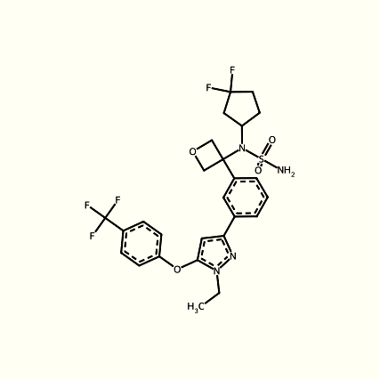 CCn1nc(-c2cccc(C3(N(C4CCC(F)(F)C4)S(N)(=O)=O)COC3)c2)cc1Oc1ccc(C(F)(F)F)cc1